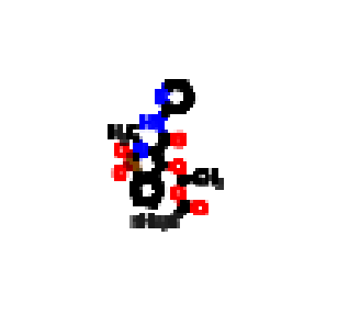 CCCCCCCC(=O)OC(C)OC1=C(C(=O)Nc2ccccn2)N(C)S(=O)(=O)c2ccccc21